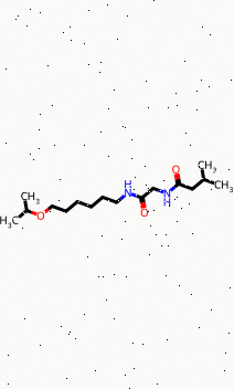 CC(C)CC(=O)NCC(=O)NCCCCCCOC(C)C